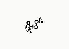 C=C(C)c1ccccc1C(NS(=O)(=O)C1CC1)c1cc2cccc(-c3cc([C@@](C)(O)C(F)(F)F)ccn3)c2s1